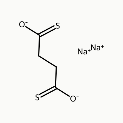 [Na+].[Na+].[O-]C(=S)CCC([O-])=S